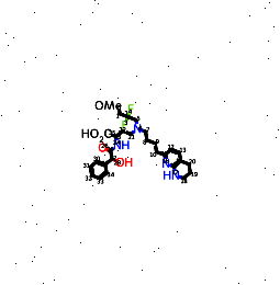 COCC(F)(F)CN(CCCCc1ccc2c(n1)NCCC2)CCC(NC(=O)C(O)c1ccccc1)C(=O)O